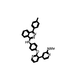 CNc1cc(-c2cccnc2Oc2ccc(Nc3nnc(-c4ccc(C)cc4)c4ccccc34)cc2)ccn1